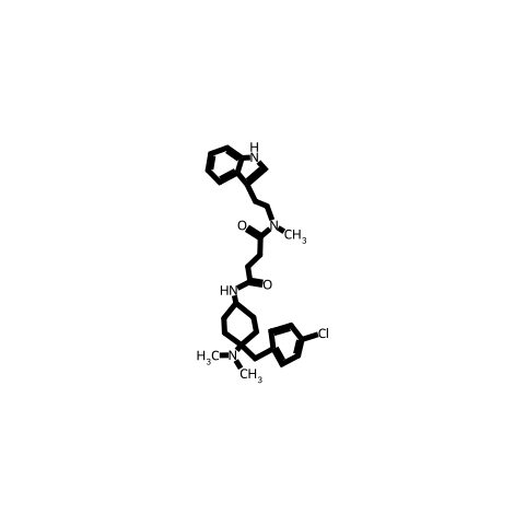 CN(CCc1c[nH]c2ccccc12)C(=O)CCC(=O)NC1CCC(Cc2ccc(Cl)cc2)(N(C)C)CC1